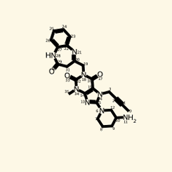 CC#CCn1c(N2CCCC(N)C2)nc2c1c(=O)n(CC1=Nc3ccccc3NC(=O)C1)c(=O)n2C